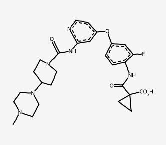 CN1CCN(C2CCN(C(=O)Nc3cc(Oc4ccc(NC(=O)C5(C(=O)O)CC5)c(F)c4)ccn3)CC2)CC1